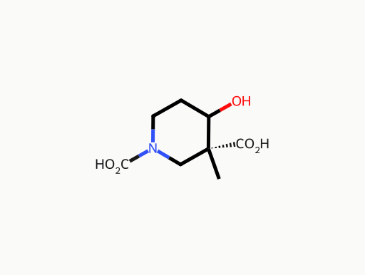 C[C@@]1(C(=O)O)CN(C(=O)O)CCC1O